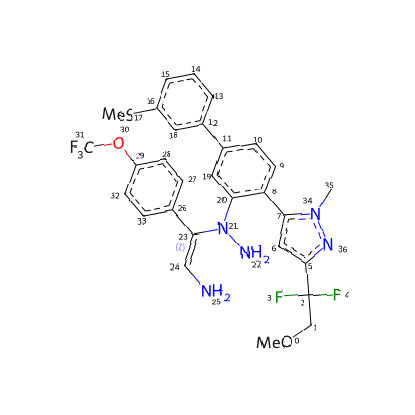 COCC(F)(F)c1cc(-c2ccc(-c3cccc(SC)c3)cc2N(N)/C(=C\N)c2ccc(OC(F)(F)F)cc2)n(C)n1